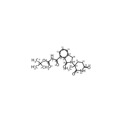 CC(C)(C)OC(=O)NC(=O)c1cccc2c1C(=O)N(C1(C)CCC(=O)NC1=O)C2